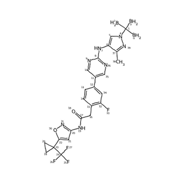 BC(B)(B)n1cc(Nc2ncc(-c3ccc(CC(=O)Nc4cc(C5(C(F)(F)F)CC5)on4)c(F)c3)cn2)c(C)n1